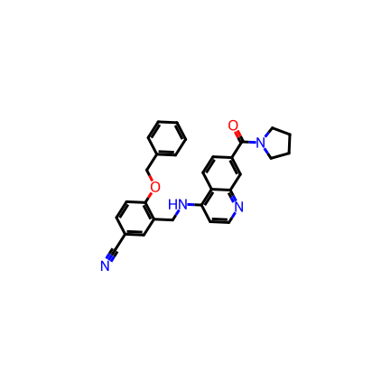 N#Cc1ccc(OCc2ccccc2)c(CNc2ccnc3cc(C(=O)N4CCCC4)ccc23)c1